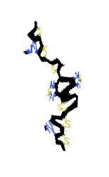 Cc1cc2c(s1)c1sc(-c3ccc(-c4c5c(c(-c6ccc(-c7cc8c(s7)c7sc(C)cc7n8C)s6)c6nsnc46)N=S=N5)s3)cc1n2C